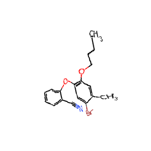 CCCCOc1cc(C)c(Br)cc1Oc1ccccc1C#N